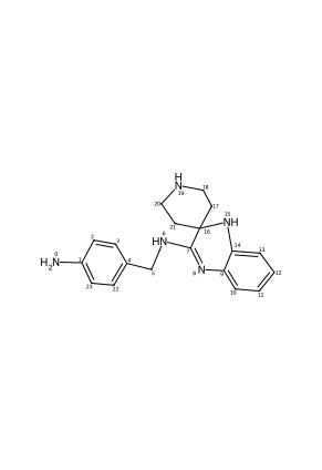 Nc1ccc(CNC2=Nc3ccccc3NC23CCNCC3)cc1